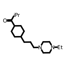 CCN1CCN(CCCC2CCC(C(=O)C(C)C)CC2)CC1